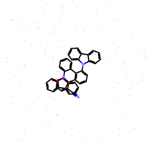 N#Cc1ccccc1-c1cccc(-n2c3ccccc3c3ccccc32)c1-c1ccccc1-n1c2ccccc2c2ccccc21